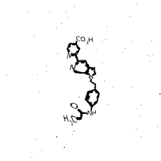 C=CC(=O)Nc1ccc(CCn2ccc3cc(-c4cc(C(=O)O)ccn4)ncc32)cc1